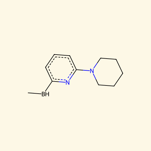 CBc1cccc(N2CCCCC2)n1